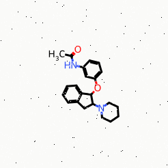 CC(=O)Nc1cccc(OC2c3ccccc3CC2N2CCCCC2)c1